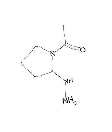 CC(=O)N1CCCC1NN